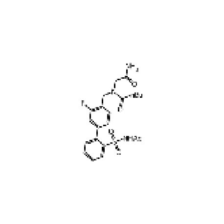 CCCCC(=O)N(CC(N)=O)Cc1ccc(-c2ccccc2S(=O)(=O)NC(C)=O)cc1F